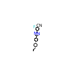 C=CC[C@H]1CC[C@H](c2ccc(-c3cnc(-c4ccc(C#N)c(F)c4)nc3)cc2)CC1